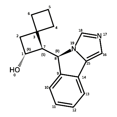 O[C@@H]1CC2(CCC2)[C@H]1[C@@H]1c2ccccc2-c2cncn21